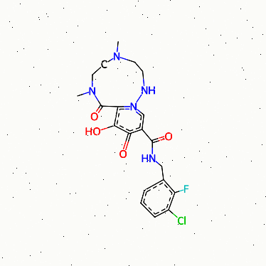 CN1CCNn2cc(C(=O)NCc3cccc(Cl)c3F)c(=O)c(O)c2C(=O)N(C)CC1